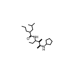 C=C(NC1CCCC1)C(=C)C(CC)NC(=O)C(CCC)CC(C)C